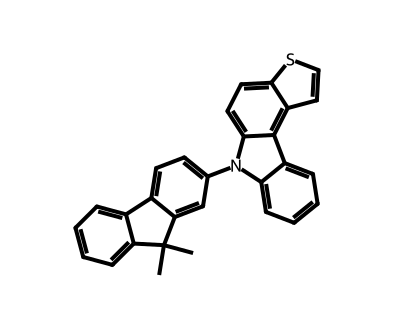 CC1(C)c2ccccc2-c2ccc(-n3c4ccccc4c4c5ccsc5ccc43)cc21